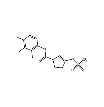 Cc1ccc(OC(=O)C2C=C(OS(=O)(=O)C(F)(F)F)CC2)c(C)c1F